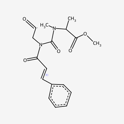 COC(=O)C(C)N(C)C(=O)N(C[C]=O)C(=O)/C=C/c1ccccc1